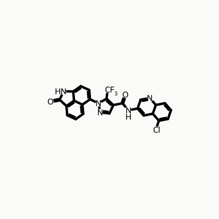 O=C(NC1=CC2C(Cl)=CC=CC2N=C1)c1cnn(-c2ccc3c4c(cccc24)C(=O)N3)c1C(F)(F)F